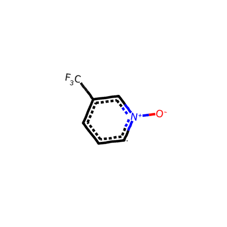 [O-][n+]1[c]ccc(C(F)(F)F)c1